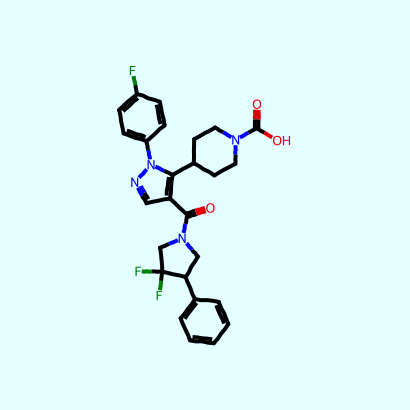 O=C(O)N1CCC(c2c(C(=O)N3CC(c4ccccc4)C(F)(F)C3)cnn2-c2ccc(F)cc2)CC1